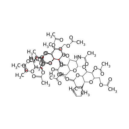 CC(=O)NC1[C@H](O[C@@H]2C(OC(=O)c3ccccc3)[C@H](C(C)C)OC(COC(C)=O)[C@@H]2OC(C)=O)OC(COC(C)=O)[C@@H](O[C@@H]2OC(COC(C)=O)[C@H](OC(C)=O)[C@H](OC(C)=O)C2O[C@@H]2OC(C)[C@H](OC(C)=O)C(OC(C)=O)[C@@H]2OC(C)=O)[C@@H]1O[C@@H]1OC(C)[C@@H](OC(C)=O)[C@H](OC(C)=O)C1OC(C)=O